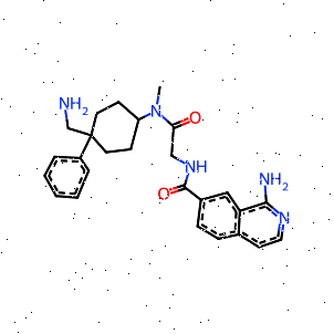 CN(C(=O)CNC(=O)c1ccc2ccnc(N)c2c1)C1CCC(CN)(c2ccccc2)CC1